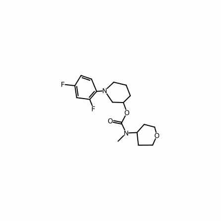 CN(C(=O)OC1CCCN(c2ccc(F)cc2F)C1)C1CCOCC1